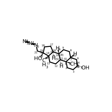 C[C@]12CC[C@@H](O)C[C@H]1CC[C@@H]1[C@@H]2CC[C@@]2(C)[C@H]1CC[C@@]2(O)CN=[N+]=[N-]